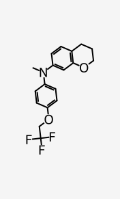 CN(c1ccc(OCC(F)(F)F)cc1)c1ccc2c(c1)OCCC2